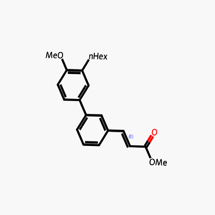 CCCCCCc1cc(-c2cccc(/C=C/C(=O)OC)c2)ccc1OC